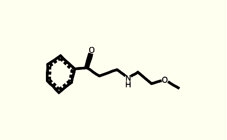 COCCNCCC(=O)c1ccccc1